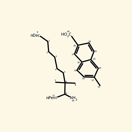 CCCCCCCCCCCCCCCC(C)(C)C(N)CCCCC.Cc1ccc2cc(C(=O)O)ccc2c1